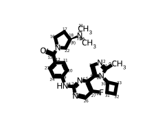 Cc1ncc(-c2nc(Nc3ccc(C(=O)N4CC[C@@H](N(C)C)C4)cc3)ncc2F)n1C1CCC1